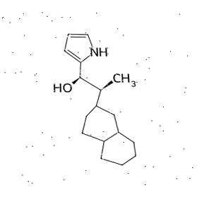 C[C@@H](C1CCC2CCCCC2C1)[C@@H](O)c1ccc[nH]1